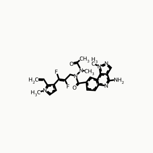 C=Cc1c(/C(F)=C(\F)CN(C(=O)c2ccc3nc(N)c4cnn(C)c4c3c2)N(C)C(C)=O)ccn1C